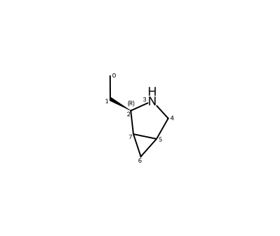 CC[C@H]1NCC2CC21